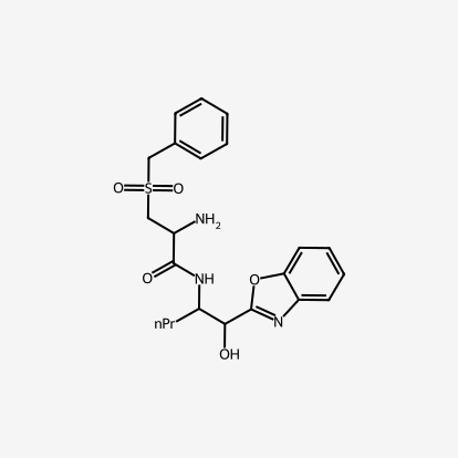 CCCC(NC(=O)C(N)CS(=O)(=O)Cc1ccccc1)C(O)c1nc2ccccc2o1